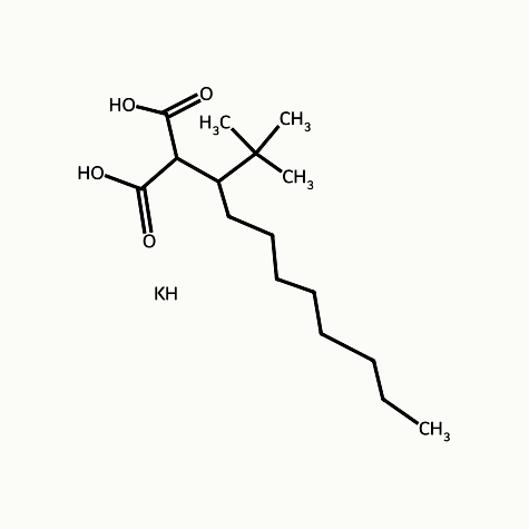 CCCCCCCCC(C(C(=O)O)C(=O)O)C(C)(C)C.[KH]